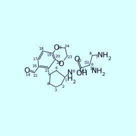 NC1CCCCC1.NC[C@H](N)C(=O)O.O=Cc1ccc2c(c1)OCCO2